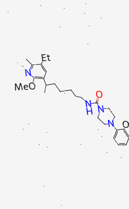 CCc1cc(C(C)CCCCCNC(=O)N2CCN(c3ccccc3OC)CC2)c(OC)nc1C